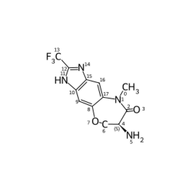 CN1C(=O)[C@@H](N)COc2cc3[nH]c(C(F)(F)F)nc3cc21